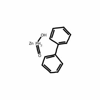 O=[PH2]O.[Zn].c1ccc(-c2ccccc2)cc1